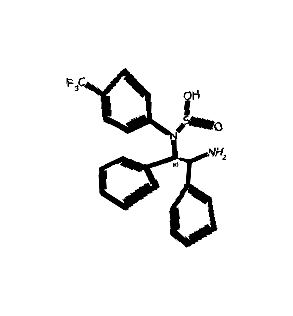 NC(c1ccccc1)[C@@H](c1ccccc1)N(c1ccc(C(F)(F)F)cc1)S(=O)O